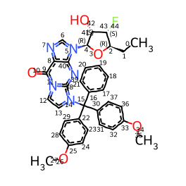 CC[C@H]1O[C@@H](n2cnc3c(=O)n4ccn(C(c5ccccc5)(c5ccc(OC)cc5)c5ccc(OC)cc5)c4nc32)[C@H](O)[C@@H]1F